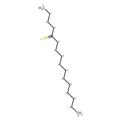 [CH2]CCCC(=S)CCCCCCCCCCC